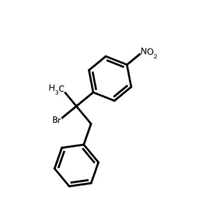 CC(Br)(Cc1ccccc1)c1ccc([N+](=O)[O-])cc1